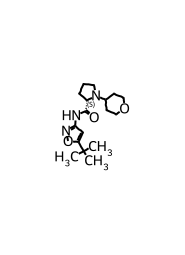 CC(C)(C)c1cc(NC(=O)[C@@H]2CCCN2C2CCOCC2)no1